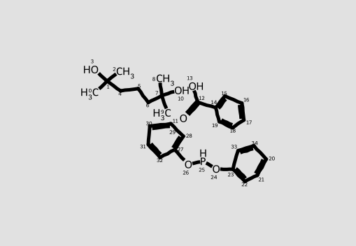 CC(C)(O)CCCC(C)(C)O.O=C(O)c1ccccc1.c1ccc(OPOc2ccccc2)cc1